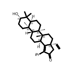 C=C[C@@]12CC[C@]3(C)[C@H](CC[C@@H]4[C@@]5(C)CC[C@H](O)C(C)(C)[C@H]5CC[C@]43C)C1=C(C(C)C)C(=O)C2